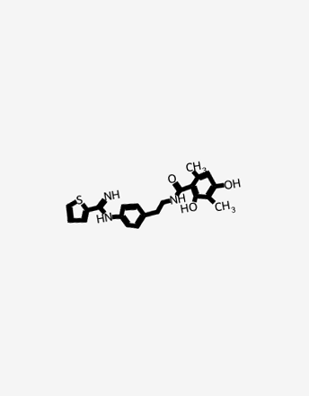 Cc1cc(O)c(C)c(O)c1C(=O)NCCc1ccc(NC(=N)c2cccs2)cc1